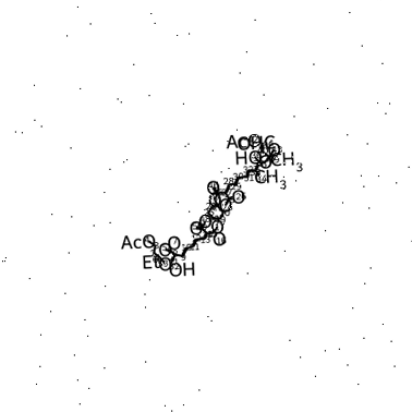 CCC1(CCOC(C)=O)OC(=O)C(/C=C/C=C/C=C2C(=O)OC3(CCC4(CC3)OC(=O)C(=C/C=C/C=C/C(C)=C(\O)OC(C)(CCOC(C)=O)OC=O)C(=O)O4)OC2=O)=C(O)O1